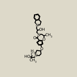 CC1CN(CC(O)CN2CCc3ccccc3C2)C(=O)c2ccc(OC3CCN(CC(C)(C)O)CC3)cc2O1